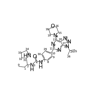 CCC(NC(=O)Nc1ccc(-c2nc(N3CCOCC3)c3nnn(C(C)C)c3n2)cc1)C1CCCN1